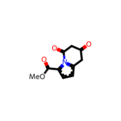 COC(=O)c1ccc2n1C(=O)CC(=O)C2